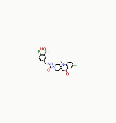 CC(O)c1cc(CNC(=O)N2CCC3(CC2)CC(=O)c2cc(F)ccc2N3C)ccc1F